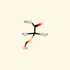 CC(PCO)(C(=O)O)C(=O)C(=O)O